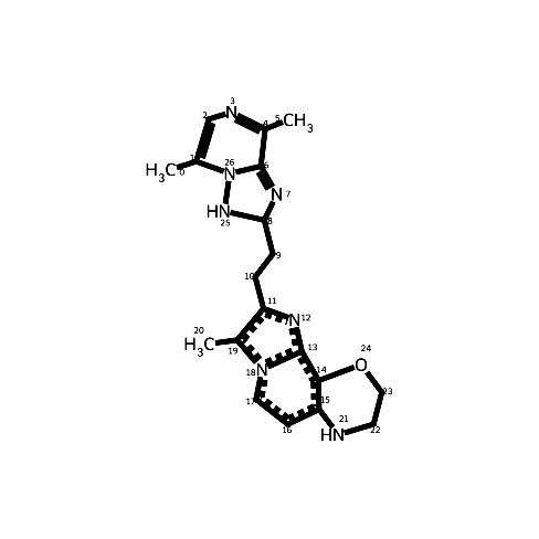 CC1=CN=C(C)C2=NC(CCc3nc4c5c(ccn4c3C)NCCO5)NN12